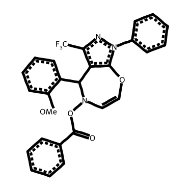 COc1ccccc1C1c2c(C(F)(F)F)nn(-c3ccccc3)c2OC=CN1OC(=O)c1ccccc1